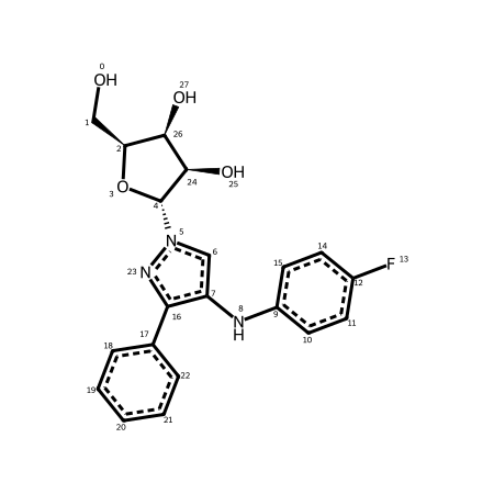 OC[C@@H]1O[C@@H](n2cc(Nc3ccc(F)cc3)c(-c3ccccc3)n2)[C@H](O)[C@@H]1O